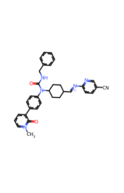 Cn1cccc(-c2ccc(N(C(=O)NCc3ccccc3)C3CCC(/C=N/c4ccc(C#N)cn4)CC3)cc2)c1=O